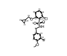 COc1ccc(CNS(=O)(=O)c2c(Cl)cccc2OCC2CC2)cc1F